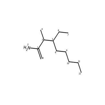 C=C(N)C(C)C(CC)CCCCC